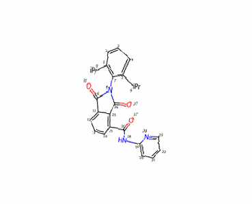 CC(C)c1cccc(C(C)C)c1N1C(=O)c2cccc(C(=O)Nc3ccccn3)c2C1=O